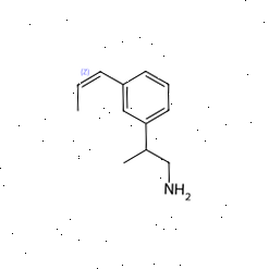 C/C=C\c1cccc(C(C)CN)c1